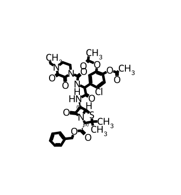 CCN1CCN(C(=O)NC(C(=O)N[C@@H]2C(=O)N3[C@@H]2SC(C)(C)[C@@H]3C(=O)OCc2ccccc2)c2cc(OC(C)=O)c(OC(C)=O)cc2Cl)C(=O)C1=O